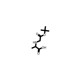 CC(NCC(=O)OC(C)(C)C)C(=O)O